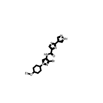 CCOC1CCC(n2cc(NC(=O)c3csc(-c4cn[nH]c4)n3)c(Br)n2)CC1